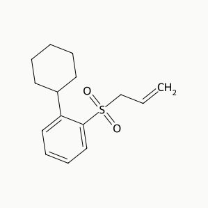 C=CCS(=O)(=O)c1ccccc1C1CCCCC1